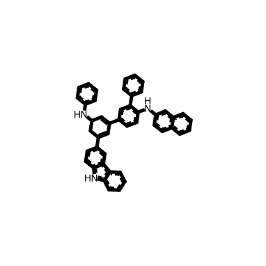 C1=C(c2ccc(Nc3ccc4ccccc4c3)c(-c3ccccc3)c2)C=C(c2ccc3[nH]c4ccccc4c3c2)CC1Nc1ccccc1